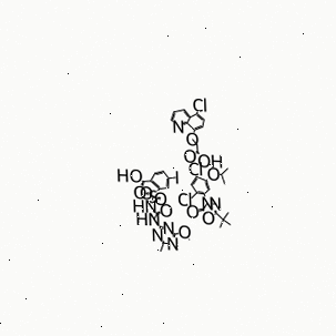 CC(C)Oc1cc(-n2nc(C(C)(C)C)oc2=O)c(Cl)cc1Cl.COc1nc(C)nc(NC(=O)NS(=O)(=O)c2cc(I)ccc2C(=O)O)n1.O=C(O)COc1ccc(Cl)c2cccnc12